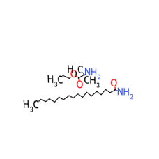 CCCCCCCCCCCCCCCCCC(N)=O.CCCOC(=O)C(C)(C)N